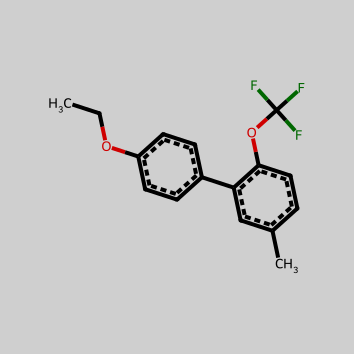 CCOc1ccc(-c2cc(C)ccc2OC(F)(F)F)cc1